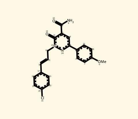 COc1ccc(-c2cc(C(N)=O)c(=O)n(CC=Cc3ccc(Cl)cc3)n2)cc1